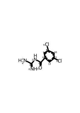 N=C(N)NC(=O)c1cc(Cl)cc(Cl)c1